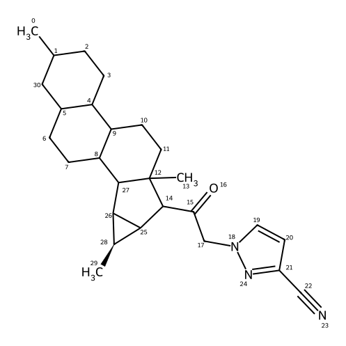 CC1CCC2C(CCC3C2CCC2(C)C(C(=O)Cn4ccc(C#N)n4)C4C(C32)[C@@H]4C)C1